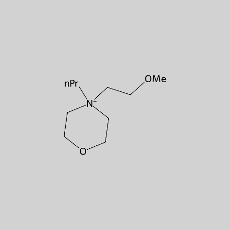 CCC[N+]1(CCOC)CCOCC1